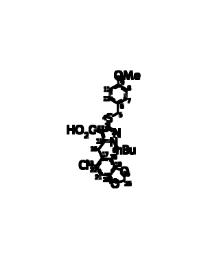 CCCCn1nc(SCc2ccc(OC)cc2)c(C(=O)O)c1Cc1cc2c(cc1Cl)OCO2